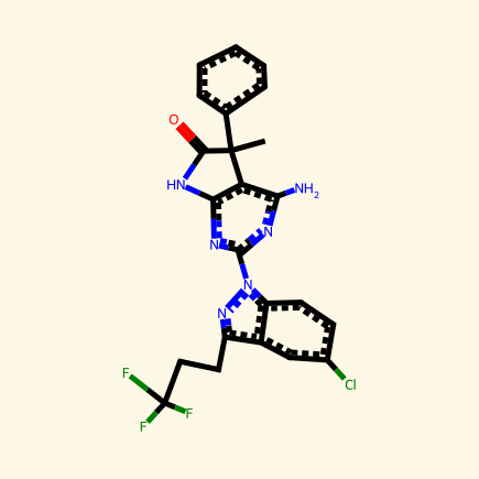 CC1(c2ccccc2)C(=O)Nc2nc(-n3nc(CCC(F)(F)F)c4cc(Cl)ccc43)nc(N)c21